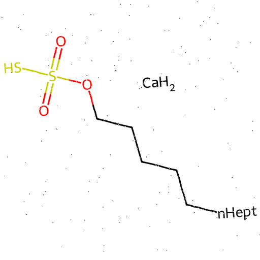 CCCCCCCCCCCCOS(=O)(=O)S.[CaH2]